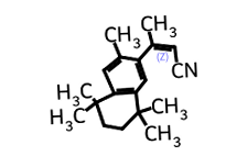 C/C(=C/C#N)c1cc2c(cc1C)C(C)(C)CCC2(C)C